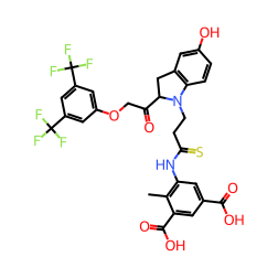 Cc1c(NC(=S)CCN2c3ccc(O)cc3CC2C(=O)COc2cc(C(F)(F)F)cc(C(F)(F)F)c2)cc(C(=O)O)cc1C(=O)O